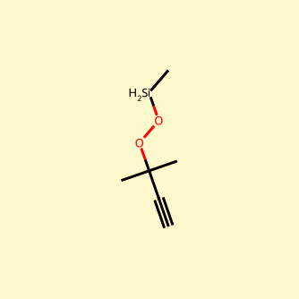 C#CC(C)(C)OO[SiH2]C